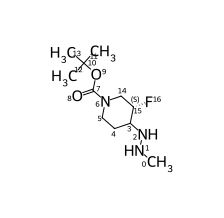 CNNC1CCN(C(=O)OC(C)(C)C)C[C@@H]1F